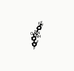 O=c1c2ccc(-c3ccc(F)cc3F)cc2[nH]c2nc(-c3ccc(C(F)(F)F)cc3)nn12